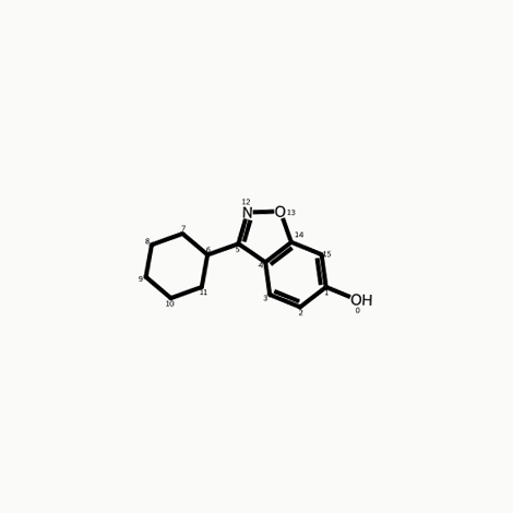 Oc1ccc2c(C3CCCCC3)noc2c1